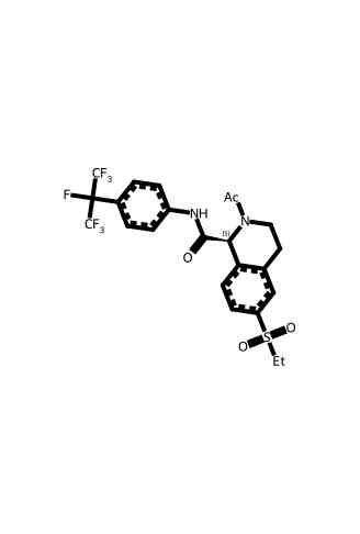 CCS(=O)(=O)c1ccc2c(c1)CCN(C(C)=O)[C@@H]2C(=O)Nc1ccc(C(F)(C(F)(F)F)C(F)(F)F)cc1